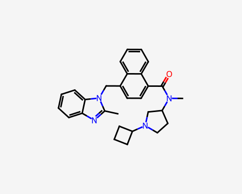 Cc1nc2ccccc2n1Cc1ccc(C(=O)N(C)C2CCN(C3CCC3)C2)c2ccccc12